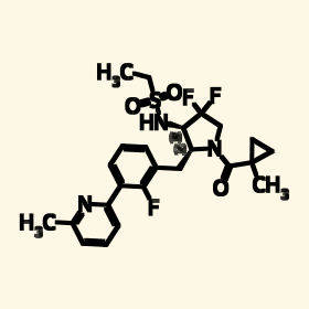 CCS(=O)(=O)N[C@@H]1[C@H](Cc2cccc(-c3cccc(C)n3)c2F)N(C(=O)C2(C)CC2)CC1(F)F